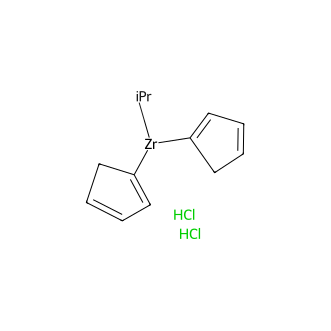 C[CH](C)[Zr]([C]1=CC=CC1)[C]1=CC=CC1.Cl.Cl